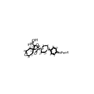 CCCCCc1ccc(N2CCN(S(=O)(=O)C3(C(=O)NO)CCOCC3)CC2)cc1